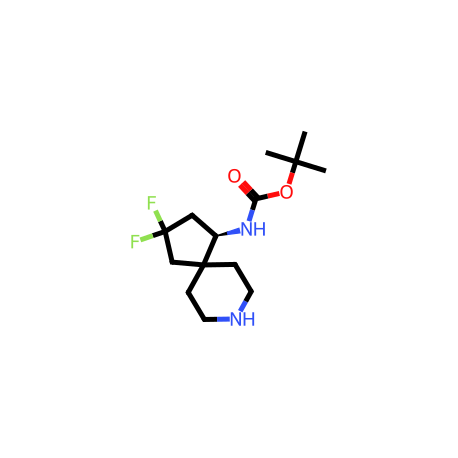 CC(C)(C)OC(=O)N[C@@H]1CC(F)(F)CC12CCNCC2